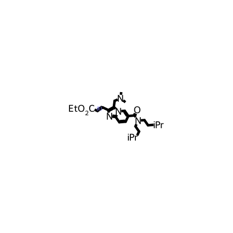 CCOC(=O)/C=C/c1nc2ccc(C(=O)N(CCC(C)C)CCC(C)C)cn2c1CN(C)C